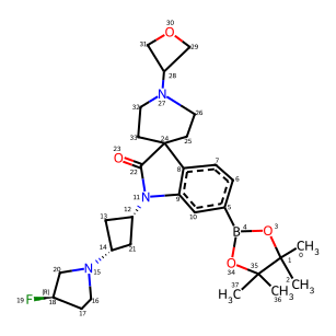 CC1(C)OB(c2ccc3c(c2)N([C@H]2C[C@@H](N4CC[C@@H](F)C4)C2)C(=O)C32CCN(C3COC3)CC2)OC1(C)C